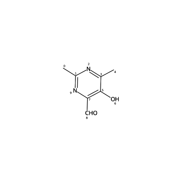 Cc1nc(C)c(O)c(C=O)n1